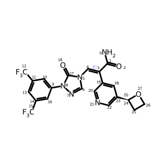 NC(=O)/C(=C/n1cnn(-c2cc(C(F)(F)F)cc(C(F)(F)F)c2)c1=O)c1cncc([C@@H]2CCO2)c1